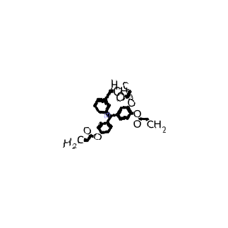 C=CC(=O)Oc1ccc(/C(=C2\CCCC(CC)C2)c2ccc(OC(=O)C=C)c(OC(=O)C=C)c2)cc1